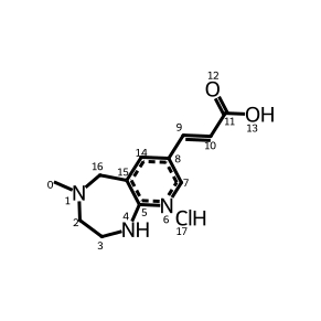 CN1CCNc2ncc(C=CC(=O)O)cc2C1.Cl